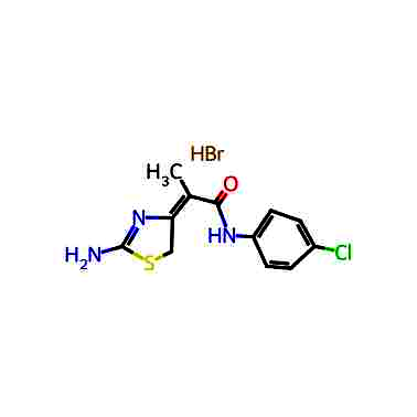 Br.CC(C(=O)Nc1ccc(Cl)cc1)=C1CSC(N)=N1